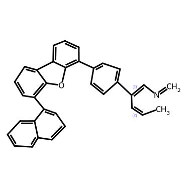 C=N/C=C(\C=C/C)c1ccc(-c2cccc3c2oc2c(-c4cccc5ccccc45)cccc23)cc1